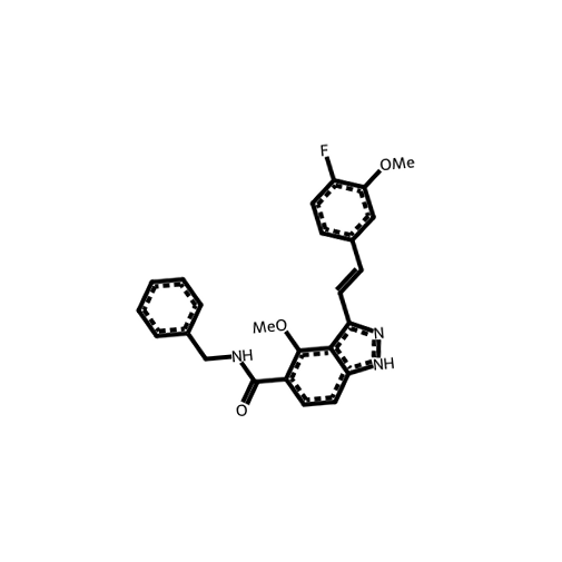 COc1cc(C=Cc2n[nH]c3ccc(C(=O)NCc4ccccc4)c(OC)c23)ccc1F